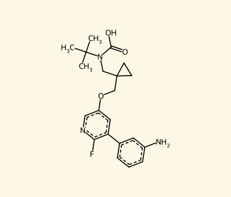 CC(C)(C)N(CC1(COc2cnc(F)c(-c3cccc(N)c3)c2)CC1)C(=O)O